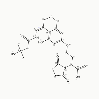 CC(C)(S)CC(=O)N/N=C1/CCCc2cc(OCCC(C(=O)O)N3C(=O)CCC3=O)cc(O)c21